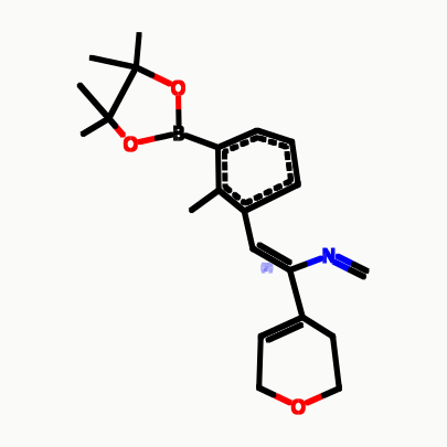 C=N/C(=C\c1cccc(B2OC(C)(C)C(C)(C)O2)c1C)C1=CCOCC1